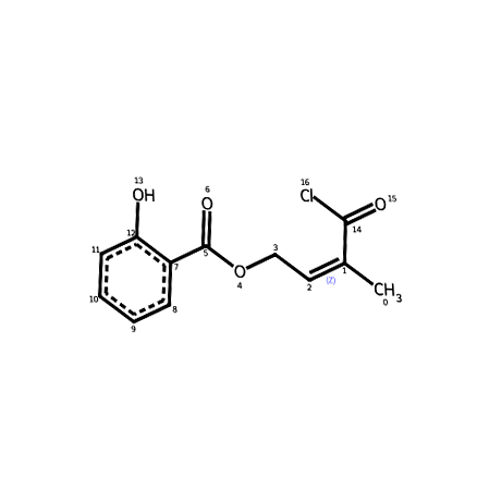 C/C(=C/COC(=O)c1ccccc1O)C(=O)Cl